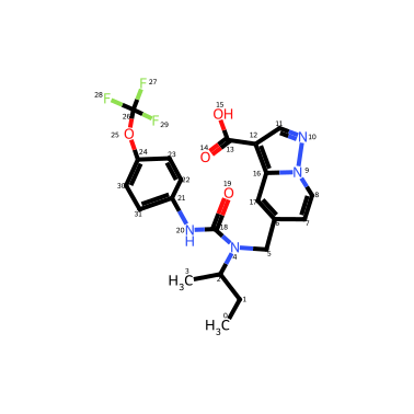 CCC(C)N(Cc1ccn2ncc(C(=O)O)c2c1)C(=O)Nc1ccc(OC(F)(F)F)cc1